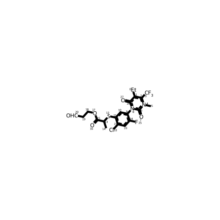 CCc1c(C(F)(F)F)n(C)c(=O)n(-c2cc(SC(C)C(=O)OCCC=O)c(Cl)cc2F)c1=O